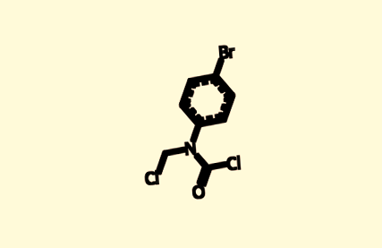 O=C(Cl)N(CCl)c1ccc(Br)cc1